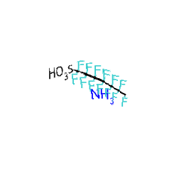 N.O=S(=O)(O)C(F)(F)C(F)(F)C(F)(F)C(F)(F)C(F)(F)C(F)(F)CF